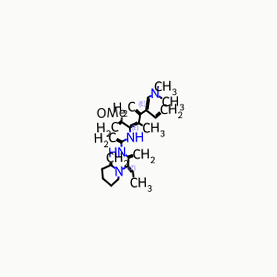 C=C/C(=C\N(C)C)C(=C)/C(C)=C(/NC(=C)NC(=C)/C(=C/C)N1CCCCC1=C)C(=C)OC